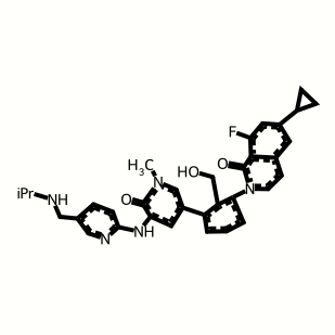 CC(C)NCc1ccc(Nc2cc(-c3cccc(-n4ccc5cc(C6CC6)cc(F)c5c4=O)c3CO)cn(C)c2=O)nc1